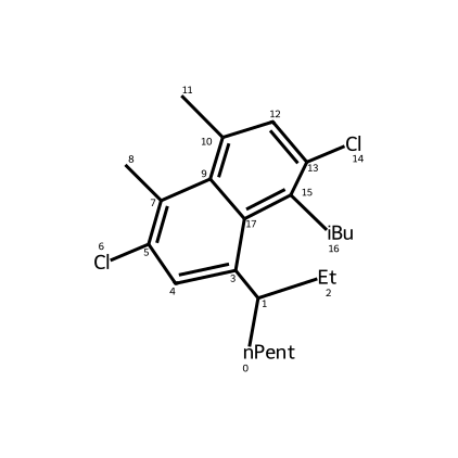 CCCCCC(CC)c1cc(Cl)c(C)c2c(C)cc(Cl)c(C(C)CC)c12